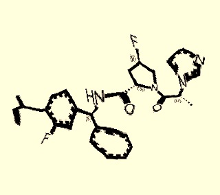 CC(C)c1ccc([C@@H](NC(=O)[C@@H]2C[C@@H](F)CN2C(=O)[C@@H](C)n2ccnc2)c2ccccc2)cc1F